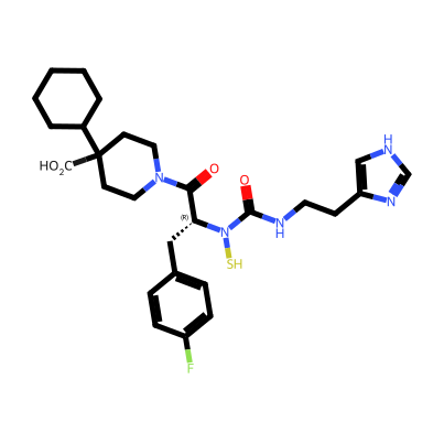 O=C([C@@H](Cc1ccc(F)cc1)N(S)C(=O)NCCc1c[nH]cn1)N1CCC(C(=O)O)(C2CCCCC2)CC1